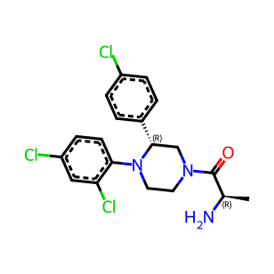 C[C@@H](N)C(=O)N1CCN(c2ccc(Cl)cc2Cl)[C@H](c2ccc(Cl)cc2)C1